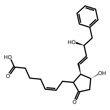 O=C(O)CCC/C=C\CC1C(=O)C[C@@H](O)[C@@H]1/C=C/[C@@H](O)Cc1ccccc1